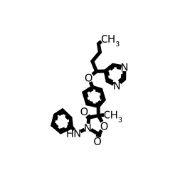 CCCCC(Oc1ccc(C2(C)OC(=O)N(Nc3ccccc3)C2=O)cc1)c1cncnc1